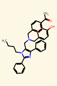 CCCCn1c(-c2ccccc2)nc(-c2ccccc2)c1CN(Cc1ccc(O)cc1)Cc1ccc(C(C)=O)cc1